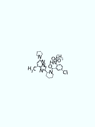 Cc1cc(N2CCCC2)nn2cc([C@@H]3CCCCN3C(=O)c3cc(Cl)ccc3NS(C)(=O)=O)nc12